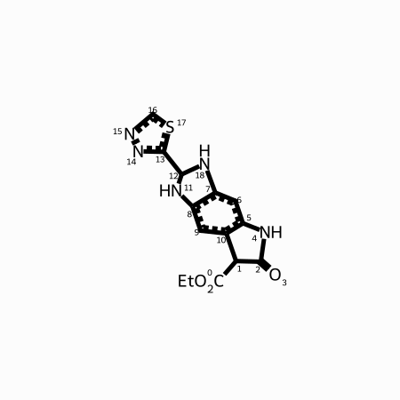 CCOC(=O)C1C(=O)Nc2cc3c(cc21)NC(c1nncs1)N3